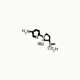 CN(C(=O)O)C1CCN(c2ccc(N)cn2)[C@H]1C(C)(C)C